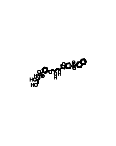 O=S(=O)(NCC(O)CO)c1cccc(OC[C@@H](O)CNC2COC3(CCN(S(=O)(=O)c4ccc5ccccc5c4)CC3)C2)c1